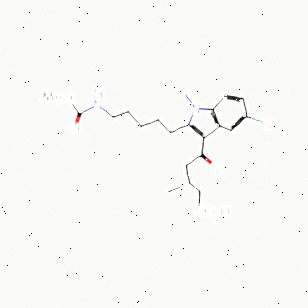 COC(=O)NCCCCCc1c(C(=O)C[C@H](C)CC(=O)O)c2cc(Cl)ccc2n1C